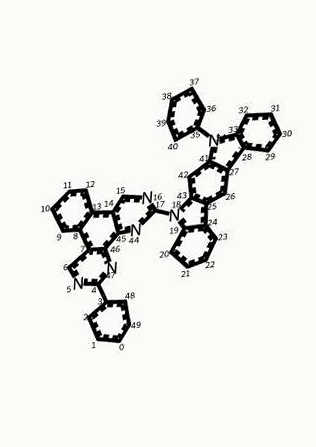 c1ccc(-c2ncc3c4ccccc4c4cnc(-n5c6ccccc6c6cc7c8ccccc8n(-c8ccccc8)c7cc65)nc4c3n2)cc1